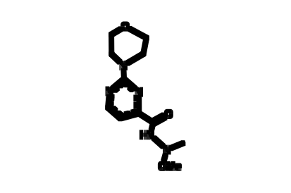 CON(C)NC(=O)c1ccnc(N2CCOCC2)n1